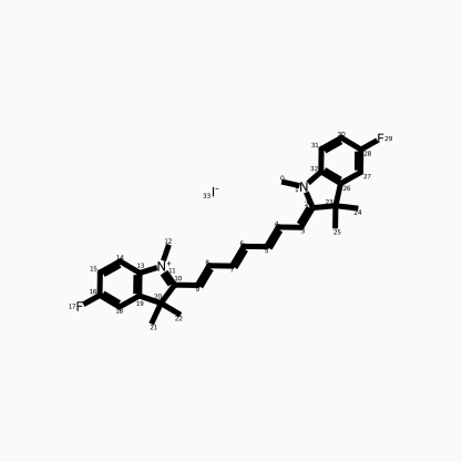 CN1C(=CC=CC=CC=CC2=[N+](C)c3ccc(F)cc3C2(C)C)C(C)(C)c2cc(F)ccc21.[I-]